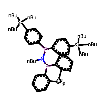 CCCCN(P(c1ccc([Si](CCCC)(CCCC)CCCC)cc1)c1ccc([Si](CCCC)(CCCC)CCCC)cc1)P(c1ccccc1C(F)(F)F)c1ccccc1C(F)(F)F